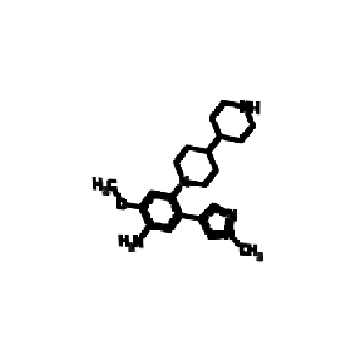 COc1cc(N2CCC(C3CCNCC3)CC2)c(-c2cnn(C)c2)cc1N